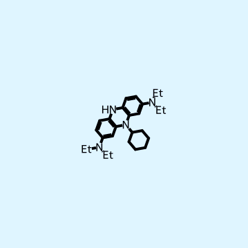 CCN(CC)c1ccc2c(c1)N(C1CCCCC1)c1cc(N(CC)CC)ccc1N2